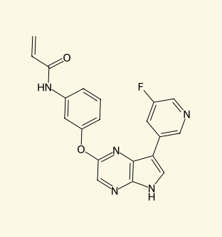 C=CC(=O)Nc1cccc(Oc2cnc3[nH]cc(-c4cncc(F)c4)c3n2)c1